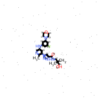 Cc1ncc(Nc2cc(F)cc(N3CCOCC3)c2)cc1-n1cc(C(=O)NCC(C)(C)CO)nn1